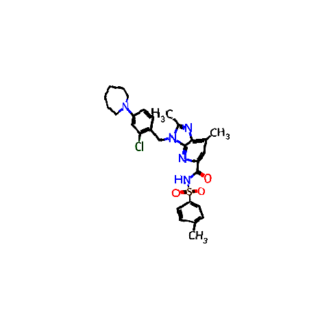 Cc1ccc(S(=O)(=O)NC(=O)c2cc(C)c3nc(C)n(Cc4ccc(N5CCCCCC5)cc4Cl)c3n2)cc1